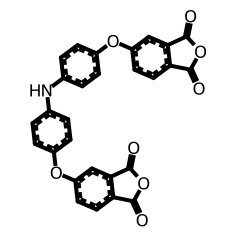 O=C1OC(=O)c2cc(Oc3ccc(Nc4ccc(Oc5ccc6c(c5)C(=O)OC6=O)cc4)cc3)ccc21